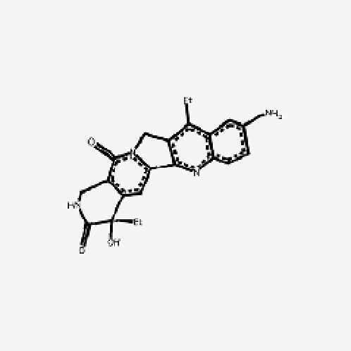 CCc1c2c(nc3ccc(N)cc13)-c1cc3c(c(=O)n1C2)CNC(=O)[C@]3(O)CC